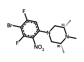 C[C@@H]1CN(c2cc(F)c(Br)c(F)c2[N+](=O)[O-])C[C@H](C)N1C